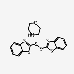 C1COCCN1.c1ccc2sc(SSc3nc4ccccc4s3)nc2c1